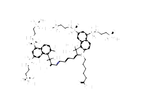 C=C(/C=C/C=C/C=C1/N(CCCCCC(=O)O)c2ccc3c(S(=O)(=O)NCCS(=O)(=O)O)cc(S(=O)(=O)NCCS(=O)(=O)O)cc3c2C1(C)C)C(C)(C)c1c(C)ccc2c(S(=O)(=O)NCCS(=O)(=O)O)cc(S(=O)(=O)NCCS(=O)(=O)O)cc12